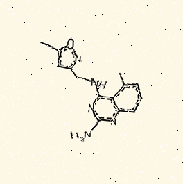 Cc1cc(CNc2nc(N)nc3cccc(C)c23)no1